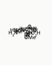 COc1ccc(-c2cc(C(=O)NCc3ccccn3)ccc2CN2CCc3cc(C(=N)N)ccc32)c(C(=O)O)n1